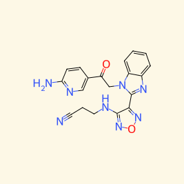 N#CCCNc1nonc1-c1nc2ccccc2n1CC(=O)c1ccc(N)nc1